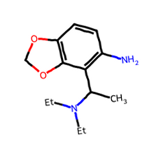 CCN(CC)C(C)c1c(N)ccc2c1OCO2